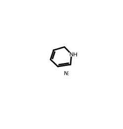 C1=CCNC=C1.[N]